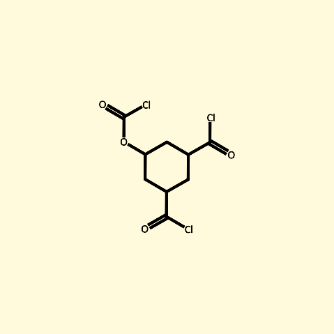 O=C(Cl)OC1CC(C(=O)Cl)CC(C(=O)Cl)C1